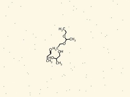 CC(O)CO.CCC=O.CCOC(C)OCC